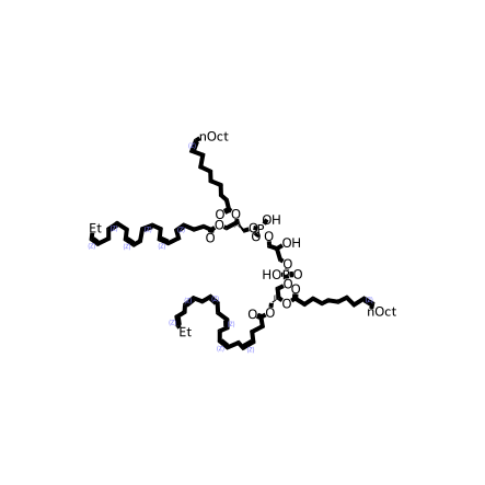 CC/C=C\C/C=C\C/C=C\C/C=C\C/C=C\C/C=C\CCC(=O)OC[C@H](COP(=O)(O)OCC(O)COP(=O)(O)OC[C@@H](COC(=O)CC/C=C\C/C=C\C/C=C\C/C=C\C/C=C\C/C=C\CC)OC(=O)CCCCCCC/C=C\CCCCCCCC)OC(=O)CCCCCCC/C=C\CCCCCCCC